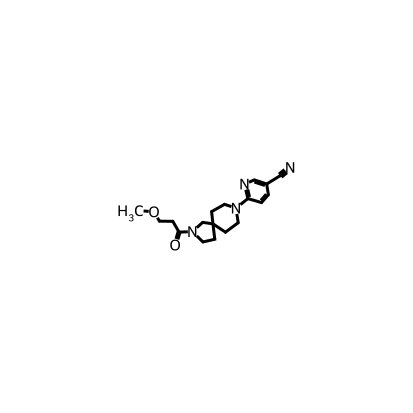 COCCC(=O)N1CCC2(CCN(c3ccc(C#N)cn3)CC2)C1